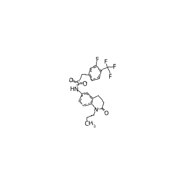 CCCN1C(=O)CCc2cc(NS(=O)(=O)Cc3ccc(C(F)(F)F)c(F)c3)ccc21